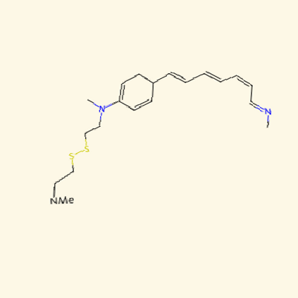 C/N=C/C=C\C=C\C=C\C1C=CC(N(C)CCSSCCNC)=CC1